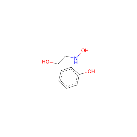 OCCNO.Oc1ccccc1